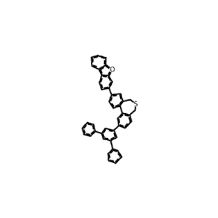 c1ccc(-c2cc(-c3ccccc3)cc(-c3ccc4c(c3)-c3ccc(-c5ccc6c(c5)oc5ccccc56)cc3CSC4)c2)cc1